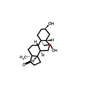 C[C@]12CC[C@H]3[C@@H](CC[C@H]4C[C@H](O)CC[C@@]43CCO)[C@@H]1CCC2=O